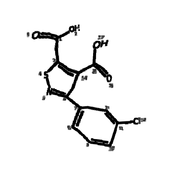 O=C(O)c1snc(-c2cccc(Cl)c2)c1C(=O)O